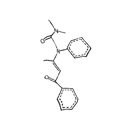 C/C(=C\C(=O)c1ccccc1)N(C(=O)N(C)C)c1ccccc1